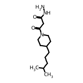 CC(C)CCCC1CCN(C(=O)CC(=O)NN)CC1